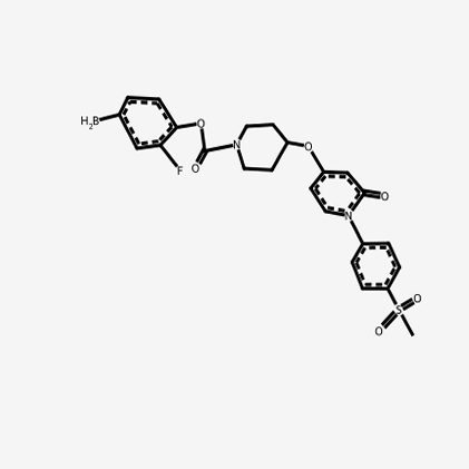 Bc1ccc(OC(=O)N2CCC(Oc3ccn(-c4ccc(S(C)(=O)=O)cc4)c(=O)c3)CC2)c(F)c1